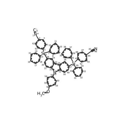 [C-]#[N+]c1ccc([Si](c2ccccc2)(c2ccccc2)c2ccc3c(c2)c2cc([Si](c4ccccc4)(c4ccccc4)c4ccc(C#N)cc4)ccc2n3-c2ccc(OC)cc2)cc1